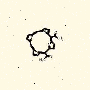 CC(=O)c1c2nc(c(C(C)=O)c3ccc(cc4nc(cc5ccc1[nH]5)C=C4)[nH]3)C=C2